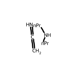 C=C=N.CCCNCCC